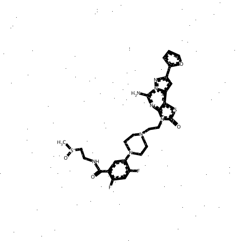 C[S+]([O-])CCNC(=O)c1cc(N2CCN(CCn3c(=O)sc4c3nc(N)n3nc(-c5ccco5)cc43)CC2)c(F)cc1F